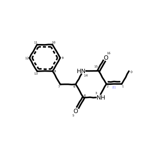 C/C=C1/NC(=O)C(Cc2ccccc2)NC1=O